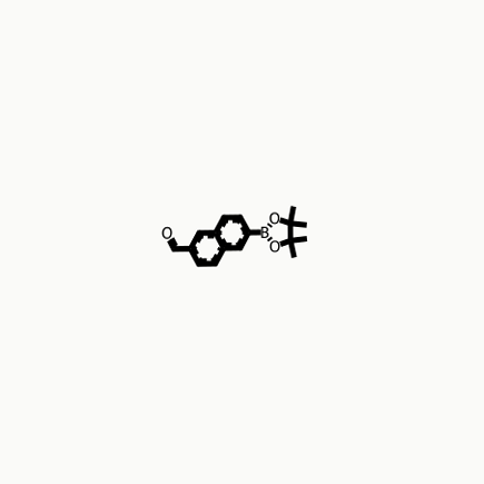 CC1(C)OB(c2ccc3cc(C=O)ccc3c2)OC1(C)C